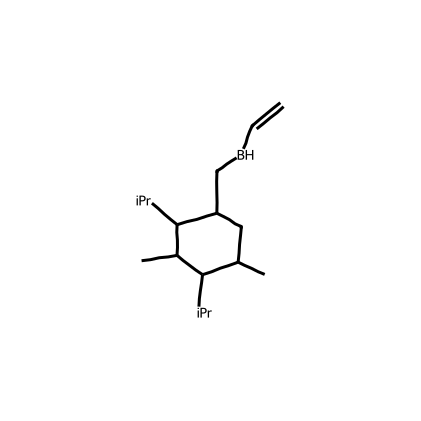 C=CBCC1CC(C)C(C(C)C)C(C)C1C(C)C